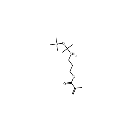 C=C(C)C(=O)OCCC[SiH2]C(C)(C)O[Si](C)(C)C